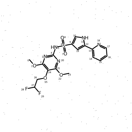 COc1nc(NS(=O)(=O)c2c[nH]c(-c3ccccn3)c2)nc(OC)c1OCC(F)F